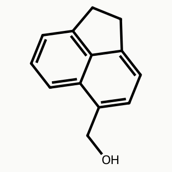 OCc1ccc2c3c(cccc13)CC2